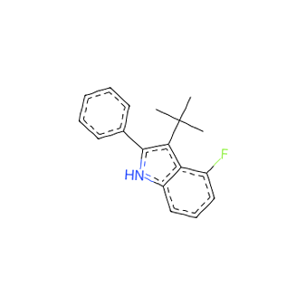 CC(C)(C)c1c(-c2ccccc2)[nH]c2cccc(F)c12